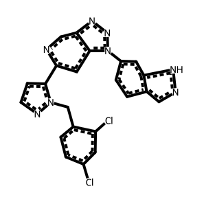 Clc1ccc(Cn2nccc2-c2cc3c(cn2)nnn3-c2ccc3cn[nH]c3c2)c(Cl)c1